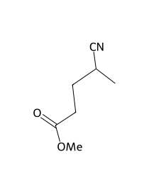 COC(=O)CCC(C)C#N